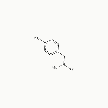 CC(C)N(Cc1ccc(C(C)(C)C)cc1)C(C)(C)C